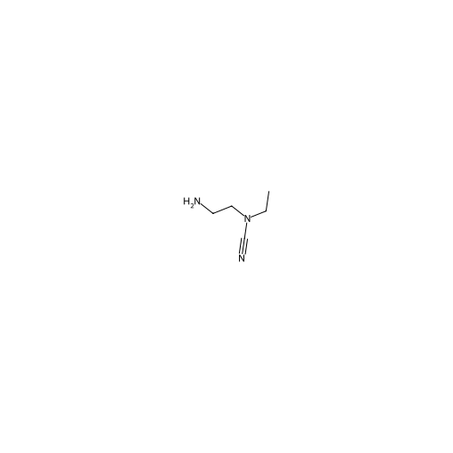 CCN(C#N)CCN